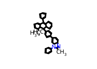 CC1=NC2C=CC(c3ccc(C4(C)C5C=CC=CC5=C(c5ccccc5)C5=CC=CC(C)C54)cc3)=CC2N1c1ccccc1